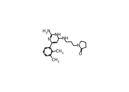 Cc1cccc(C2=CC(NCCCN3CCCC3=O)NC(N)=N2)c1C